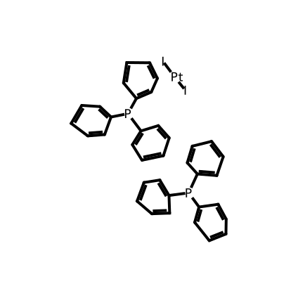 [I][Pt][I].c1ccc(P(c2ccccc2)c2ccccc2)cc1.c1ccc(P(c2ccccc2)c2ccccc2)cc1